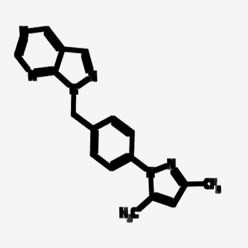 Cc1cc(C(F)(F)F)nn1-c1ccc(Cn2ncc3cncnc32)cc1